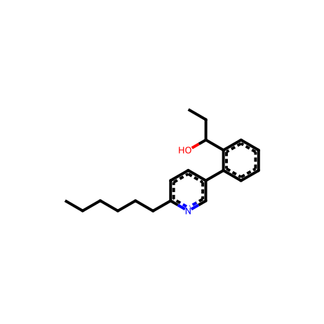 CCCCCCc1ccc(-c2ccccc2C(O)CC)cn1